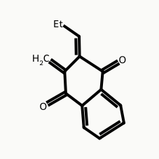 C=C1C(=O)c2ccccc2C(=O)/C1=C/CC